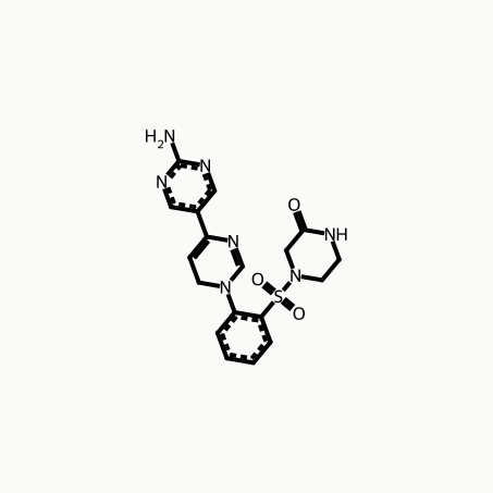 Nc1ncc(C2=CCN(c3ccccc3S(=O)(=O)N3CCNC(=O)C3)C=N2)cn1